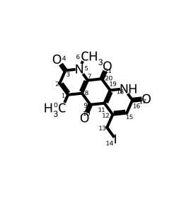 Cc1cc(=O)n(C)c2c1C(=O)c1c(CI)cc(=O)[nH]c1C2=O